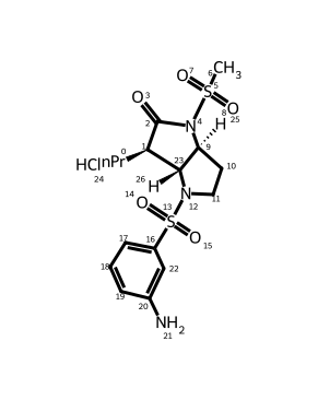 CCC[C@H]1C(=O)N(S(C)(=O)=O)[C@H]2CCN(S(=O)(=O)c3cccc(N)c3)[C@H]12.Cl